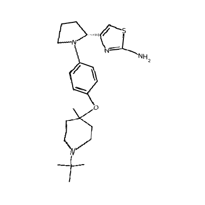 CC1(Oc2ccc(N3CCC[C@@H]3c3csc(N)n3)cc2)CCN(C(C)(C)C)CC1